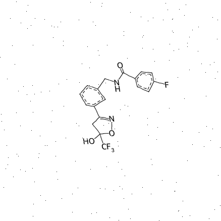 O=C(NCc1cccc(C2=NOC(O)(C(F)(F)F)C2)c1)c1ccc(F)cc1